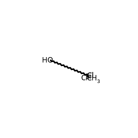 C[Si](Cl)(Cl)CCCCCCCCCCCCCCCCCCCCCCO